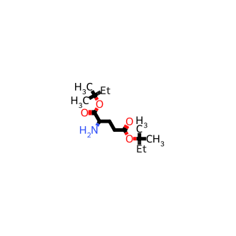 CCC(C)(C)OC(=O)CCC(N)C(=O)OC(C)(C)CC